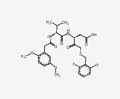 COc1ccc(OC)c(CC(=O)N[C@H](C(=O)N[C@@H](CC(=O)O)C(=O)COCc2c(F)cccc2Cl)C(C)C)c1